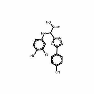 C[C@H](O)C(Nc1ccc(C#N)c(Cl)c1)c1nnc(-c2ccc(C#N)cc2)o1